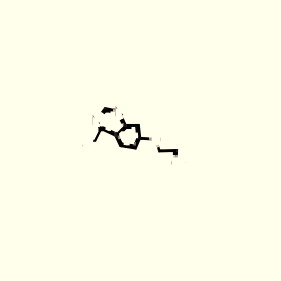 C=CCOc1ccc2c(Cl)ncnc2c1